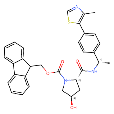 Cc1ncsc1-c1ccc([C@H](C)NC(=O)[C@@H]2C[C@@H](O)CN2C(=O)OCC2c3ccccc3-c3ccccc32)cc1